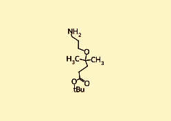 CC(C)(C)OC(=O)CCC(C)(C)OCCCN